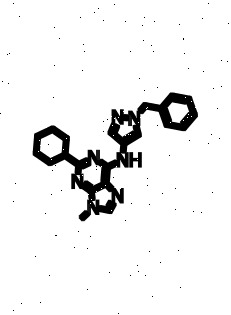 Cn1cnc2c(Nc3cnn(Cc4ccccc4)c3)nc(C3CCCCC3)nc21